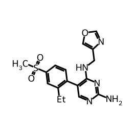 CCc1cc(S(C)(=O)=O)ccc1-c1cnc(N)nc1NCc1cocn1